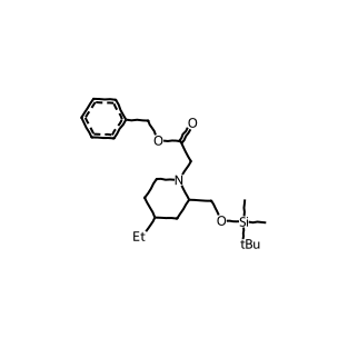 CCC1CCN(CC(=O)OCc2ccccc2)C(CO[Si](C)(C)C(C)(C)C)C1